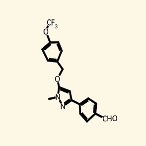 Cn1nc(-c2ccc(C=O)cc2)cc1OCc1ccc(OC(F)(F)F)cc1